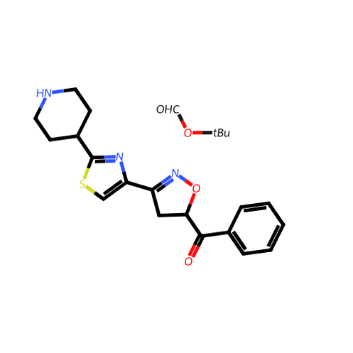 CC(C)(C)OC=O.O=C(c1ccccc1)C1CC(c2csc(C3CCNCC3)n2)=NO1